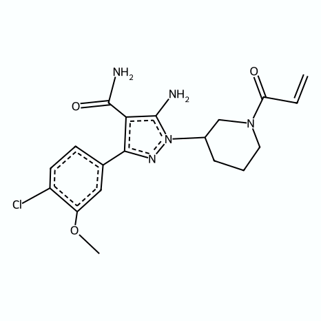 C=CC(=O)N1CCCC(n2nc(-c3ccc(Cl)c(OC)c3)c(C(N)=O)c2N)C1